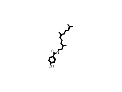 CC(C)=CCCC(C)=CCCC(C)CCOC(=O)c1ccc(O)cc1